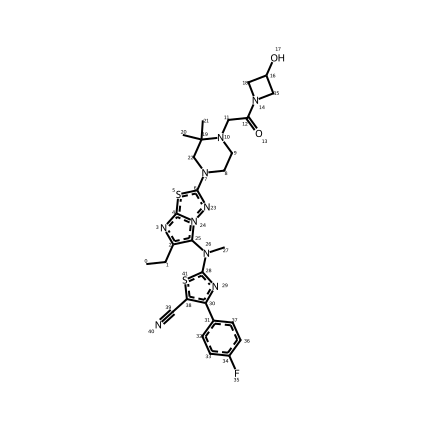 CCc1nc2sc(N3CCN(CC(=O)N4CC(O)C4)C(C)(C)C3)nn2c1N(C)c1nc(-c2ccc(F)cc2)c(C#N)s1